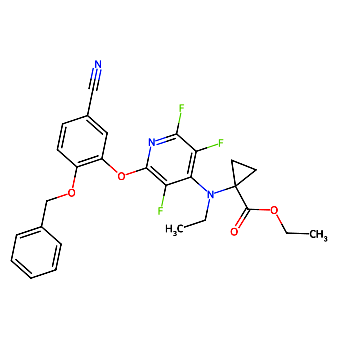 CCOC(=O)C1(N(CC)c2c(F)c(F)nc(Oc3cc(C#N)ccc3OCc3ccccc3)c2F)CC1